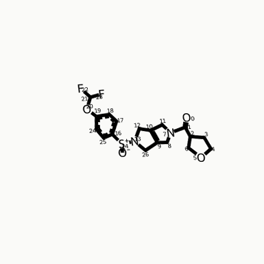 O=C(C1CCOC1)N1CC2=C(C1)CN([S+]([O-])c1ccc(OC(F)F)cc1)C2